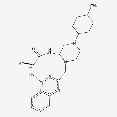 CC1CCC(N2CCN3Cc4nc(c5ccccc5n4)N[C@@H](C(C)C)C(=O)NC3C2)CC1